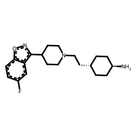 N[C@H]1CC[C@H](CCN2CCC(c3noc4ccc(F)cc34)CC2)CC1